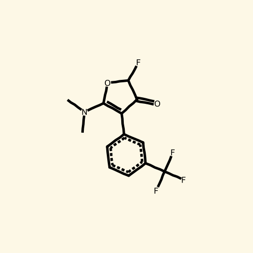 CN(C)C1=C(c2cccc(C(F)(F)F)c2)C(=O)C(F)O1